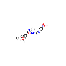 CC(C)(C)Oc1ccc(-c2cnc(C3(N)CCCCC3N[C@H]3CCCN(c4ccc([N+](=O)[O-])cc4)C3)o2)cc1